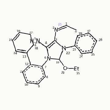 C/C=N\C1=C(N)N(c2ccccc2C2=CC=CCC2)C(OCC)N1c1ccccc1